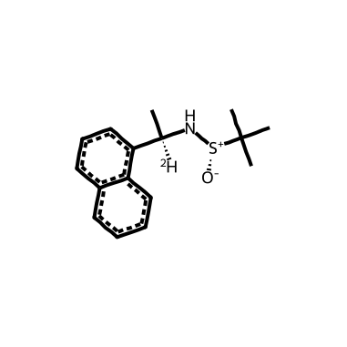 [2H][C@](C)(N[S@@+]([O-])C(C)(C)C)c1cccc2ccccc12